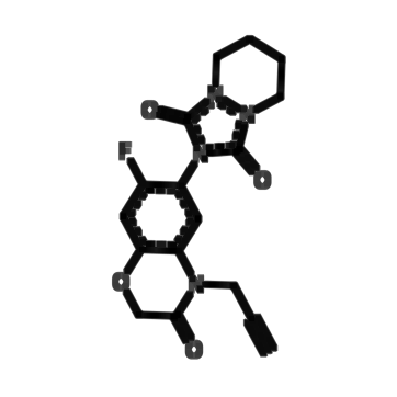 C#CCN1C(=O)COc2cc(F)c(-n3c(=O)n4n(c3=O)CCCC4)cc21